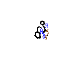 c1ccc2nnc(C3=C(N4CCCC5CCCCC54)[N]SCS3)cc2c1